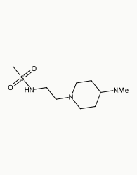 CNC1CCN(CCNS(C)(=O)=O)CC1